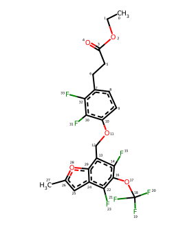 CCOC(=O)CCc1ccc(OCc2c(F)c(OC(F)(F)F)c(F)c3cc(C)oc23)c(F)c1F